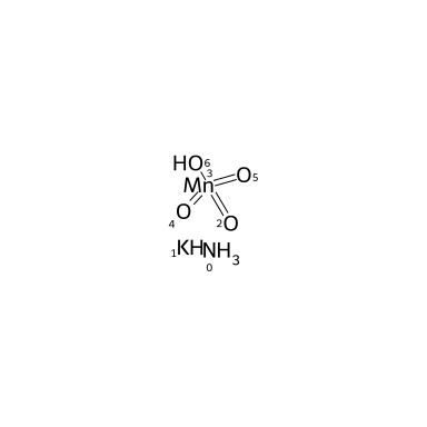 N.[KH].[O]=[Mn](=[O])(=[O])[OH]